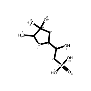 BC1OC(C(O)CP(=O)(O)O)CC1(C)O